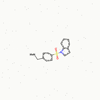 CNCc1ccc(S(=O)(=O)n2ccc3ccccc32)cc1